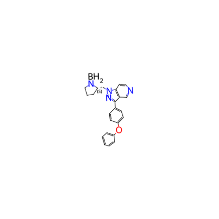 BN1CCC[C@H]1Cn1nc(-c2ccc(Oc3ccccc3)cc2)c2cnccc21